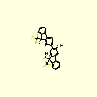 Cc1cc2c(cc1-c1ccc3c(c1)C(C)(C(F)(F)F)c1ccccc1-3)C(C)(C(F)(F)F)c1ccccc1-2